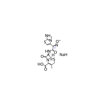 CO/N=C(/C(=O)N[C@@H]1C(=O)N2C(C(=O)O)=C(C)CS[C@H]12)c1csc(N)n1.[NaH]